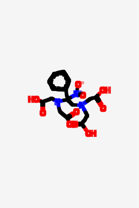 O=C(O)CN(CC(=O)O)CC(c1ccccc1)(N(CC(=O)O)CC(=O)O)[N+](=O)[O-]